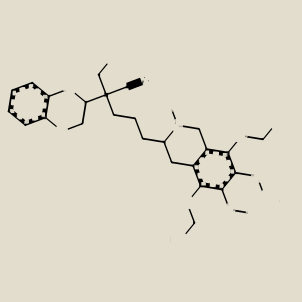 CCOc1c2c(c(OCC)c(OC)c1OC)CN(C)C(CCCC(C#N)(CC)C1COc3ccccc3O1)C2